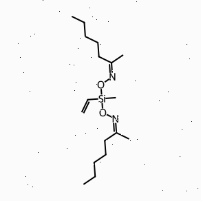 C=C[Si](C)(ON=C(C)CCCCC)ON=C(C)CCCCC